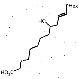 CCCCCC/C=C/CC(O)CCCCCCCC(=O)O